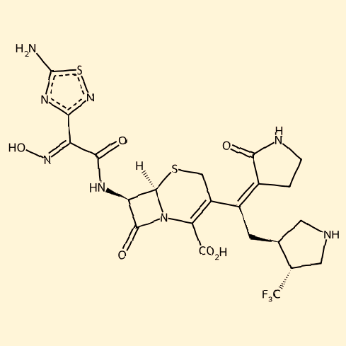 Nc1nc(C(=NO)C(=O)N[C@@H]2C(=O)N3C(C(=O)O)=C(C(C[C@H]4CNC[C@@H]4C(F)(F)F)=C4CCNC4=O)CS[C@H]23)ns1